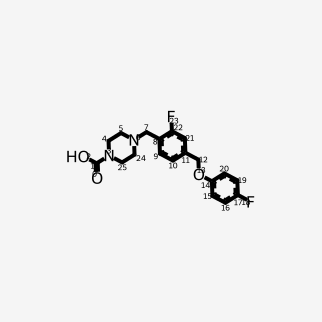 O=C(O)N1CCN(Cc2ccc(COc3ccc(F)cc3)cc2F)CC1